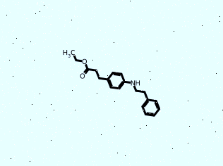 CCOC(=O)CCc1ccc(NCCc2ccccc2)cc1